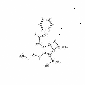 CC(=O)NC1C(SCCN)=C(C(=O)O)N2C(=O)CC12.c1ccccc1